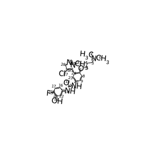 CN(C)CCCOc1ccc(NC(=O)Nc2ccc(F)c(O)c2)cc1-c1c(Cl)cnn1C